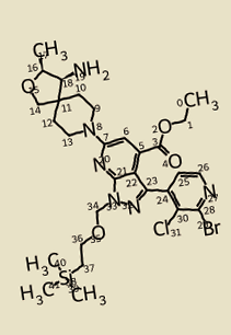 CCOC(=O)c1cc(N2CCC3(CC2)CO[C@@H](C)[C@H]3N)nc2c1c(-c1ccnc(Br)c1Cl)nn2COCC[Si](C)(C)C